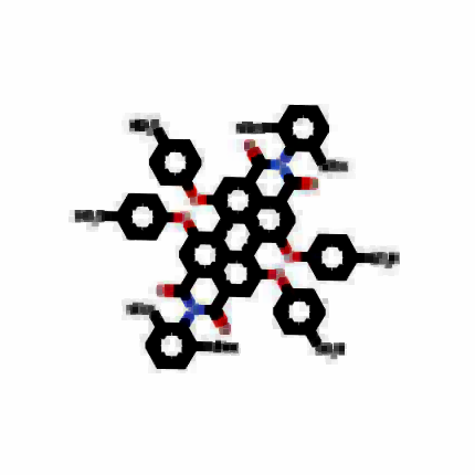 CCCCCCc1cccc(CCCCCC)c1N1C(=O)c2cc(Oc3ccc(S(=O)(=O)O)cc3)c3c4c(Oc5ccc(S(=O)(=O)O)cc5)cc5c6c(cc(Oc7ccc(S(=O)(=O)O)cc7)c(c7c(Oc8ccc(S(=O)(=O)O)cc8)cc(c2c37)C1=O)c64)C(=O)N(c1c(CCCCCC)cccc1CCCCCC)C5=O